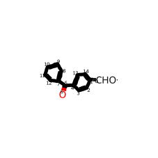 O=[C]c1ccc(C(=O)c2ccccc2)cc1